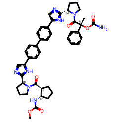 COC(=O)N[C@H]1CCC[C@@H]1C(=O)N1CCC[C@H]1c1ncc(-c2ccc(-c3ccc(-c4cnc([C@@H]5CCCN5C(=O)[C@](C)(OC(N)=O)c5ccccc5)[nH]4)cc3)cc2)[nH]1